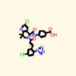 CC1(C)CN(C(=O)/C=C/c2cc(Cl)ccc2-n2cnnn2)C(C(=O)Nc2ccc(C(=O)O)cc2)c2cc(Cl)cnc21